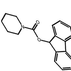 O=C(OC1c2ccccc2-c2ccccc21)N1CCCCC1